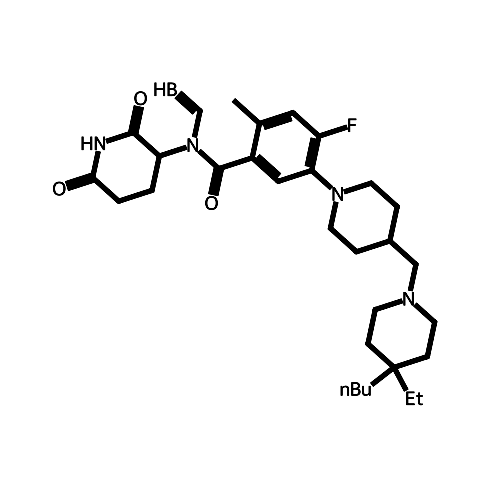 B=CN(C(=O)c1cc(N2CCC(CN3CCC(CC)(CCCC)CC3)CC2)c(F)cc1C)C1CCC(=O)NC1=O